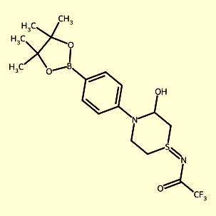 CC1(C)OB(c2ccc(N3CCS(=NC(=O)C(F)(F)F)CC3O)cc2)OC1(C)C